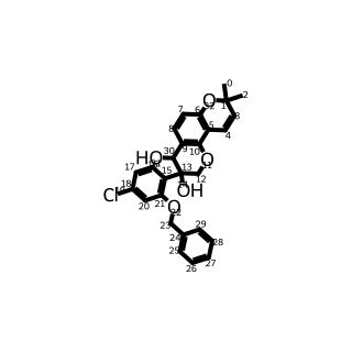 CC1(C)C=Cc2c(ccc3c2OCC(O)(c2ccc(Cl)cc2OCc2ccccc2)C3O)O1